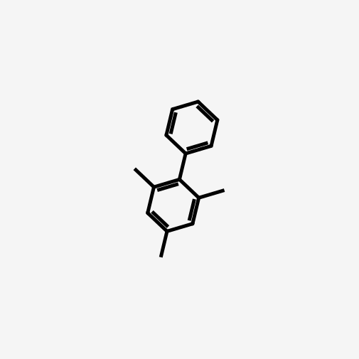 Cc1cc(C)c(-c2ccccc2)c(C)c1